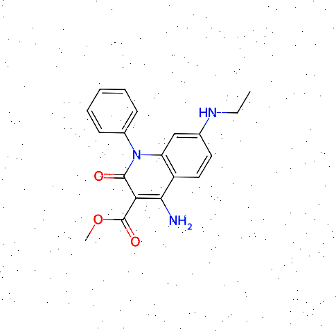 CCNc1ccc2c(N)c(C(=O)OC)c(=O)n(-c3ccccc3)c2c1